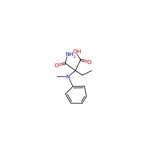 CCC(C(N)=O)(C(=O)O)N(C)c1ccccc1